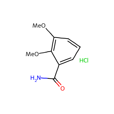 COc1cccc(C(N)=O)c1OC.Cl